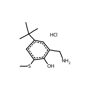 CSc1cc(C(C)(C)C)cc(CN)c1O.Cl